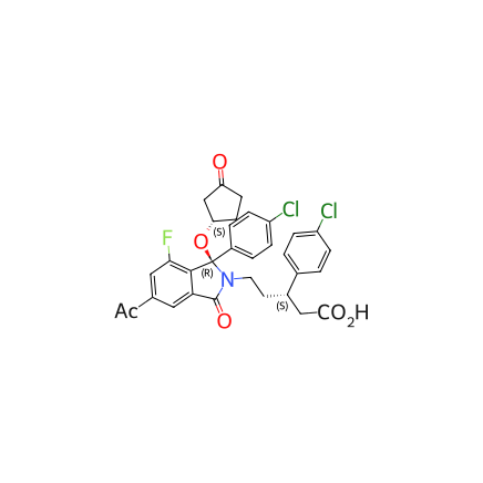 CC(=O)c1cc(F)c2c(c1)C(=O)N(CC[C@@H](CC(=O)O)c1ccc(Cl)cc1)[C@@]2(O[C@H]1CCC(=O)C1)c1ccc(Cl)cc1